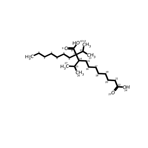 CCCCCCCC(C(=O)O)(C(C)C)C(CCCCCCCC(=O)O)C(C)C